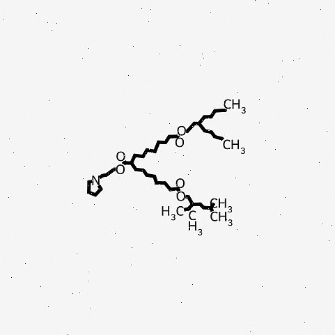 CCCCCC(CCCCC)CCOC(=O)CCCCCCCC(CCCCCCCC(=O)OCC(CCC(C)C)C(C)C)C(=O)OCCCN1CCCC1